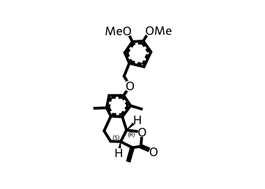 C=C1C(=O)O[C@H]2c3c(C)c(OCc4ccc(OC)c(OC)c4)cc(C)c3CC[C@@H]12